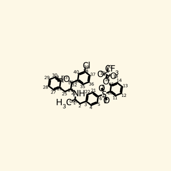 C[C@H](Cc1ccc(S(=O)(=O)c2ccccc2OS(=O)(=O)C(F)(F)F)cc1)NC(Cc1ccccc1)[C@H](O)c1cccc(Cl)c1